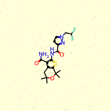 CC1(C)Cc2c(sc(NC(=O)c3ccn(CC(F)F)n3)c2C(N)=O)C(C)(C)O1